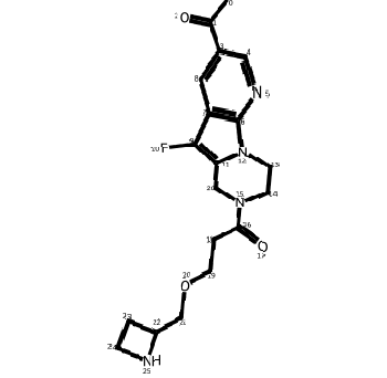 CC(=O)c1cnc2c(c1)c(F)c1n2CCN(C(=O)CCOCC2CCN2)C1